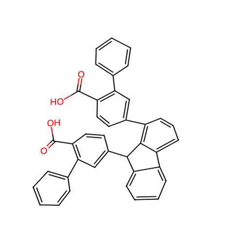 O=C(O)c1ccc(-c2cccc3c2C(c2ccc(C(=O)O)c(-c4ccccc4)c2)c2ccccc2-3)cc1-c1ccccc1